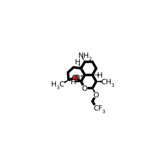 C[C@H]1[C@@H](OCC(F)(F)F)O[C@@H]2O[C@@]3(C)CC[C@H]4[C@H](N)CC[C@@H]1[C@@]24OO3